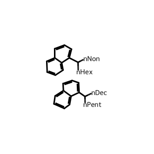 CCCCCCCCCC(CCCCCC)c1cccc2ccccc12.CCCCCCCCCCC(CCCCC)c1cccc2ccccc12